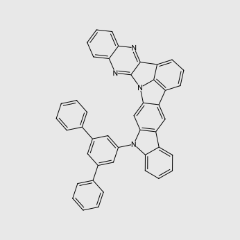 c1ccc(-c2cc(-c3ccccc3)cc(-n3c4ccccc4c4cc5c6cccc7c8nc9ccccc9nc8n(c5cc43)c67)c2)cc1